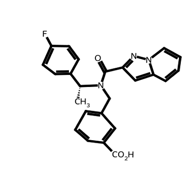 C[C@H](c1ccc(F)cc1)N(Cc1cccc(C(=O)O)c1)C(=O)c1cc2ccccn2n1